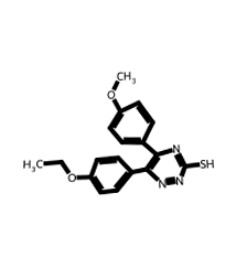 CCOc1ccc(-c2nnc(S)nc2-c2ccc(OC)cc2)cc1